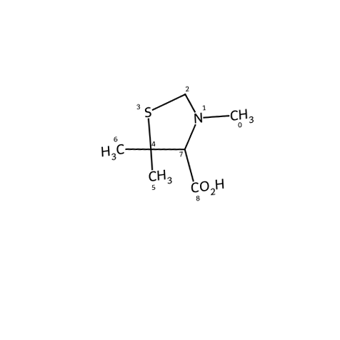 CN1CSC(C)(C)C1C(=O)O